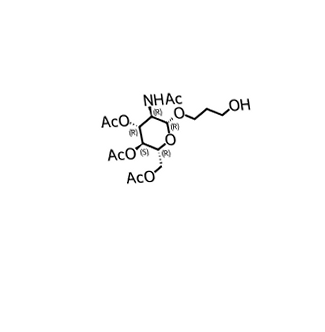 CC(=O)N[C@H]1[C@H](OCCCO)O[C@H](COC(C)=O)[C@@H](OC(C)=O)[C@@H]1OC(C)=O